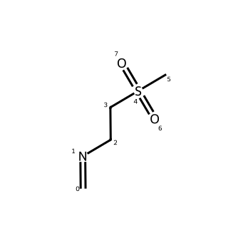 C=NCCS(C)(=O)=O